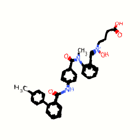 Cc1ccc(-c2ccccc2C(=O)Nc2ccc(C(=O)N(C)c3ccccc3C=[N+](O)CCCC(=O)O)cc2)cc1